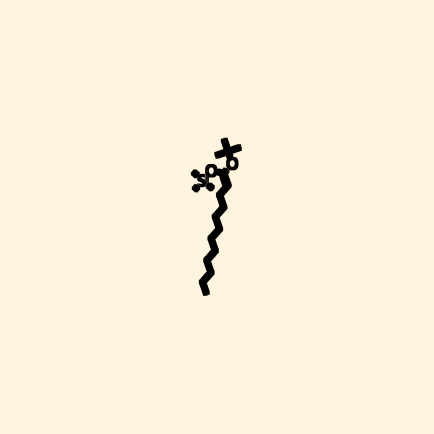 CCCCCCCCCCC=C(OC(C)(C)C)O[Si](C)(C)C